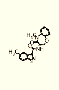 Cc1ccc2snc(C(=O)N[C@H]3COc4ccccc4N(C)C3=O)c2c1